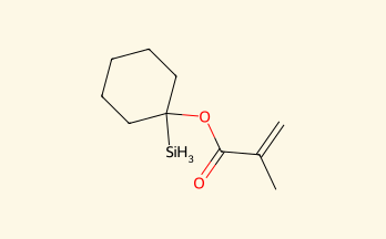 C=C(C)C(=O)OC1([SiH3])CCCCC1